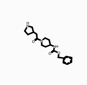 O=C(NC1CCN(C(=O)CC2CCNC2)CC1)OCc1ccccc1